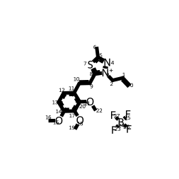 C=CC[n+]1nc(C)sc1/C=C/c1ccc(OC)c(OC)c1OC.F[B-](F)(F)F